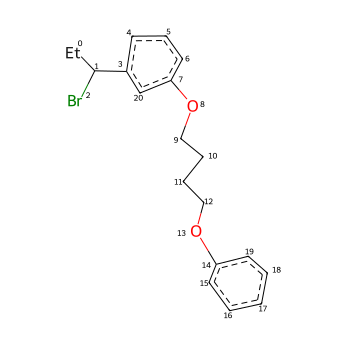 CCC(Br)c1cccc(OCCCCOc2ccccc2)c1